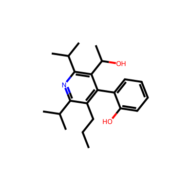 CCCc1c(C(C)C)nc(C(C)C)c(C(C)O)c1-c1ccccc1O